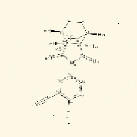 N#Cc1cc(N2C(=O)[C@@H]3[C@H]4CC[C@H](C(=O)C4)[C@@H]3C2=O)ccc1F